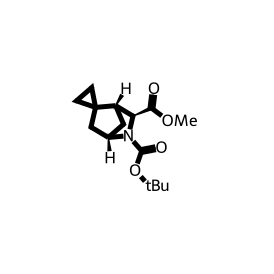 COC(=O)[C@@H]1[C@@H]2C[C@@H](CC23CC3)N1C(=O)OC(C)(C)C